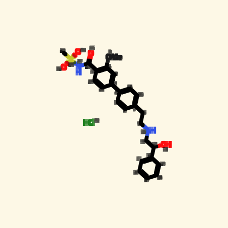 COc1cc(-c2ccc(CCNC[C@@H](O)c3ccccc3)cc2)ccc1C(=O)NS(C)(=O)=O.Cl